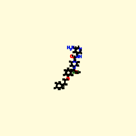 Cl.Nc1cncc(NC(=O)N2CCN(C(=O)c3cccc(OCCC4CCCCC4)c3)CC2)c1